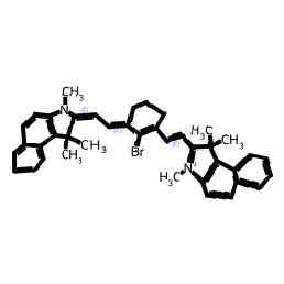 CN1/C(=C/C=C2\CCCC(/C=C/C3=[N+](C)c4ccc5ccccc5c4C3(C)C)=C2Br)C(C)(C)c2c1ccc1ccccc21